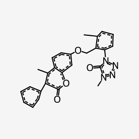 Cc1cccc(-n2nnn(C)c2=O)c1COc1ccc2c(C)c(-c3ccccc3)c(=O)oc2c1